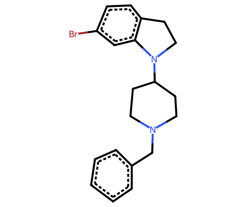 Brc1ccc2c(c1)N(C1CCN(Cc3ccccc3)CC1)CC2